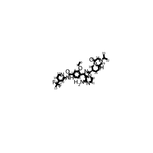 CCOc1cc(C(=O)Nc2cc(C(C)(F)F)ccn2)ccc1-c1nc([C@@H]2CC[C@H]3CN(C(C)C)CC(=O)N3C2)n2ccnc(N)c12